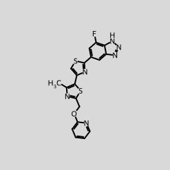 Cc1nc(COc2ccccn2)sc1-c1csc(-c2cc(F)c3[nH]nnc3c2)n1